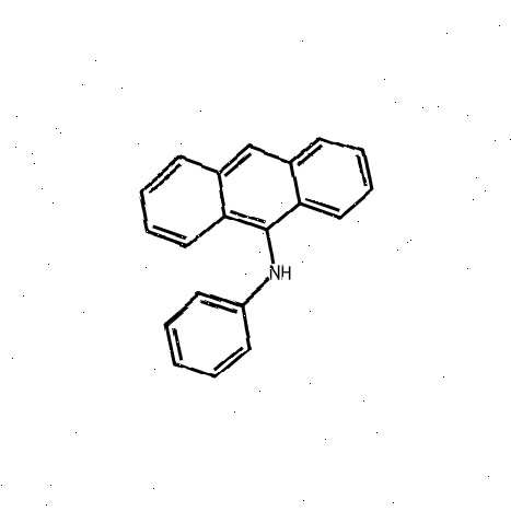 c1ccc(Nc2c3ccccc3cc3ccccc23)cc1